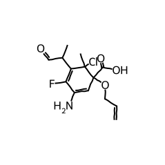 C=CCOC1(C(=O)O)C=C(N)C(F)=C(C(C)C=O)C1(C)Cl